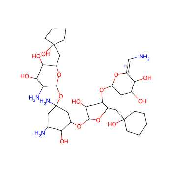 N/C=C1/OC(OC2C(CC3(O)CCCCC3)OC(OC3CC(N)(OC4OC(CC5(O)CCCC5)C(O)C(O)C4N)CC(N)C3O)C2O)CC(O)C1O